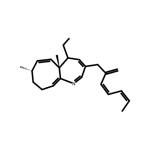 C=C(/C=C\C=C/C)CC1=CC(CC)[C@@]2(C)/C=C\[C@@H](C)CC/C=C\2N=C1